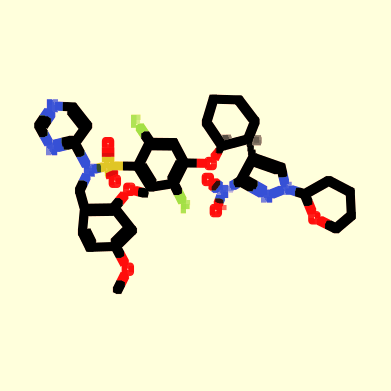 COc1ccc(CN(c2ccncn2)S(=O)(=O)c2cc(F)c(O[C@H]3CCCC[C@@H]3c3cn(C4CCCCO4)nc3[N+](=O)[O-])cc2F)c(OC)c1